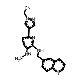 N#CCn1cc(-c2ccc(NN)c(NCc3ccc4ncccc4c3)n2)cn1